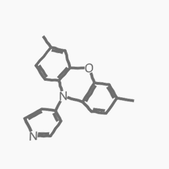 Cc1ccc2c(c1)Oc1cc(C)ccc1N2c1ccncc1